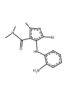 CCc1nn(C)c(C(=O)N(C)C)c1Nc1ccccc1N